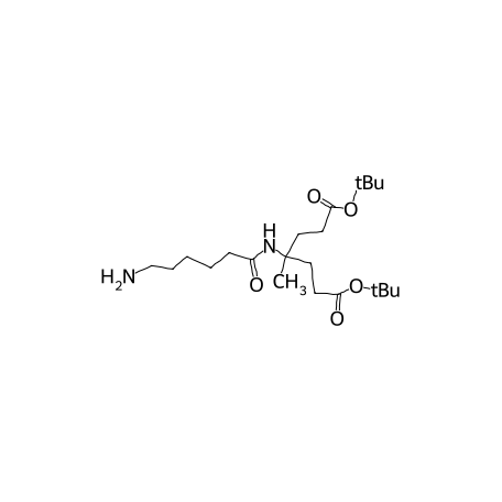 CC(CCC(=O)OC(C)(C)C)(CCC(=O)OC(C)(C)C)NC(=O)CCCCCN